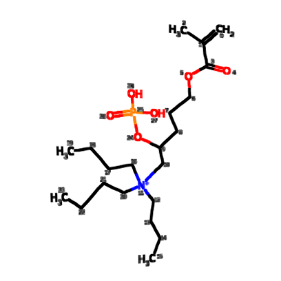 C=C(C)C(=O)OCCCC(C[N+](CCCC)(CCCC)CCCC)OP(=O)(O)O